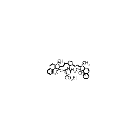 CCOC(=O)N1CCN(C2=C(/C=C/C3=[N+](C)c4ccc5ccccc5c4C3(C)C)CC/C2=C\C=C2\N(C)c3ccc4ccccc4c3C2(C)C)CC1